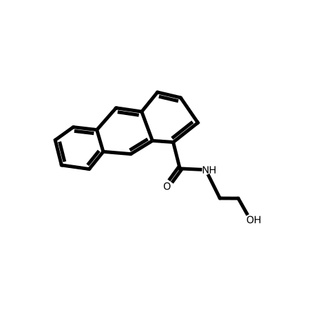 O=C(NCCO)c1cccc2cc3ccccc3cc12